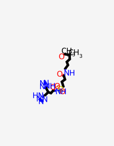 CC(=O)[C@@H](C)CCCCNC(=O)CCCS(=O)(=O)NC(=O)CC(c1nnn[nH]1)c1nnn[nH]1